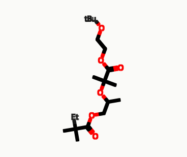 CCC(C)(C)C(=O)OCC(C)OC(C)(C)C(=O)OCCOC(C)(C)C